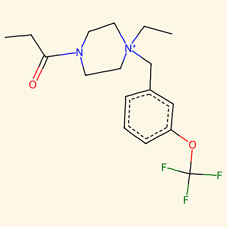 CCC(=O)N1CC[N+](CC)(Cc2cccc(OC(F)(F)F)c2)CC1